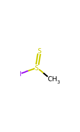 CS(=S)I